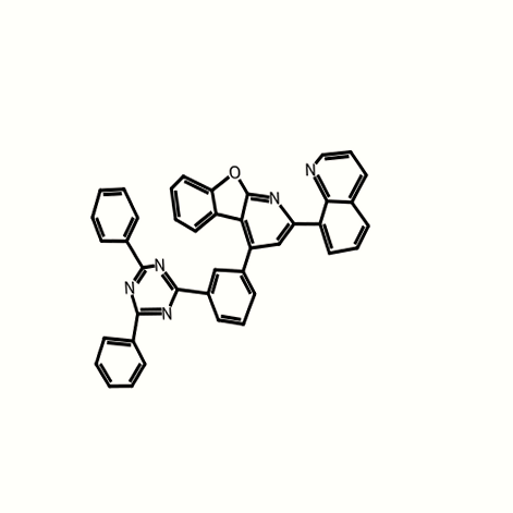 c1ccc(-c2nc(-c3ccccc3)nc(-c3cccc(-c4cc(-c5cccc6cccnc56)nc5oc6ccccc6c45)c3)n2)cc1